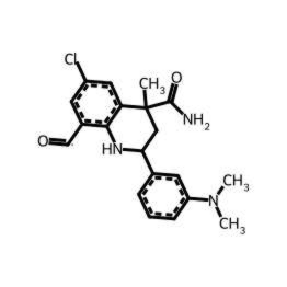 CN(C)c1cccc(C2CC(C)(C(N)=O)c3cc(Cl)cc([C]=O)c3N2)c1